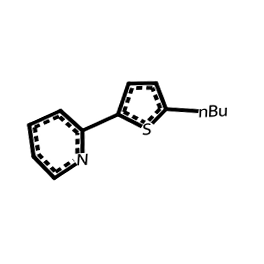 CCCCc1ccc(-c2ccccn2)s1